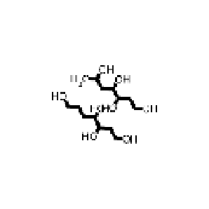 CC(O)CC(O)C(O)CCO.OCCCC(O)C(O)CCO